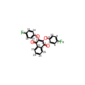 O=C1C(Oc2ccc(F)cc2)=C(Oc2ccc(F)cc2)C(=O)c2ccccc21